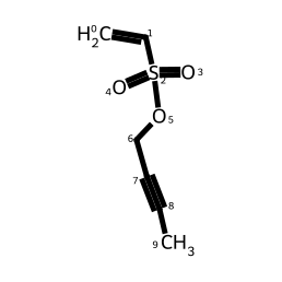 C=CS(=O)(=O)OCC#CC